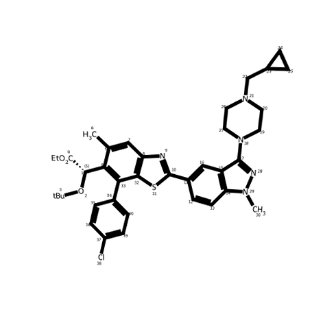 CCOC(=O)[C@@H](OC(C)(C)C)c1c(C)cc2nc(-c3ccc4c(c3)c(N3CCN(CC5CC5)CC3)nn4C)sc2c1-c1ccc(Cl)cc1